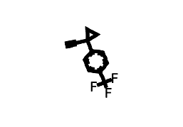 C#CC1(c2ccc(C(F)(F)F)cc2)CC1